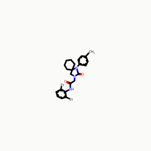 CCc1cccc(CC)c1NC(=O)CN1CC2(CCCCC2)N(c2ccc(C)cc2)C1=O